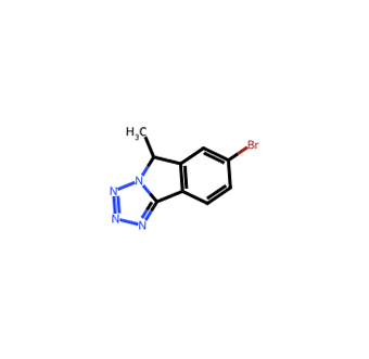 CC1c2cc(Br)ccc2-c2nnnn21